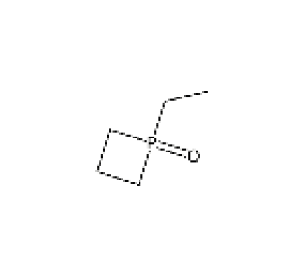 CCP1(=O)CCC1